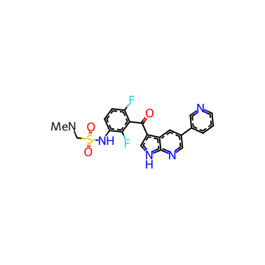 CNCS(=O)(=O)Nc1ccc(F)c(C(=O)c2c[nH]c3ncc(-c4cccnc4)cc23)c1F